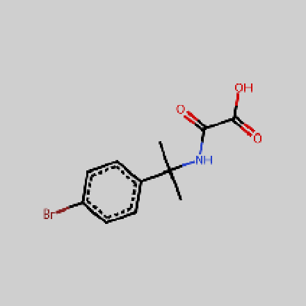 CC(C)(NC(=O)C(=O)O)c1ccc(Br)cc1